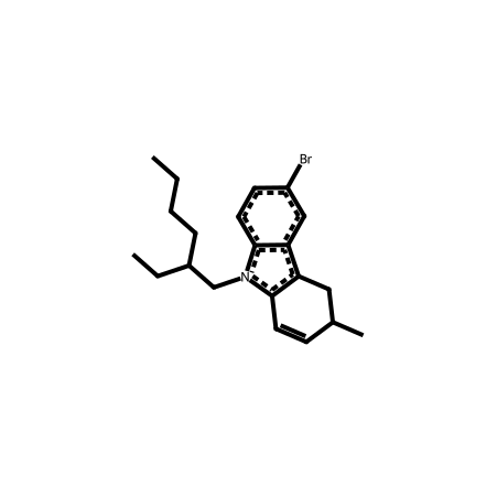 CCCCC(CC)Cn1c2c(c3cc(Br)ccc31)CC(C)C=C2